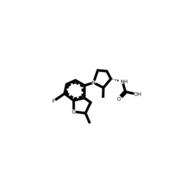 CC1Cc2c(N3CC[C@H](NC(=O)O)C3C)ccc(F)c2O1